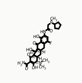 CN(CC(=O)Nc1cc(F)c2c(c1O)C(=O)C1=C(O)[C@]34OOC3C(C(N)=O)=C(O)[C@@H](N(C)C)[C@@H]4C[C@@H]1C2)C1CCCC1